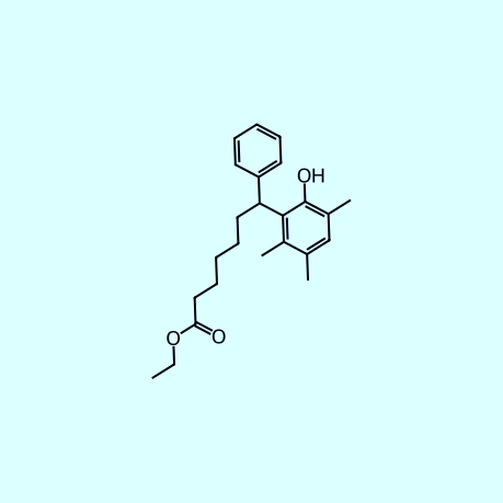 CCOC(=O)CCCCCC(c1ccccc1)c1c(C)c(C)cc(C)c1O